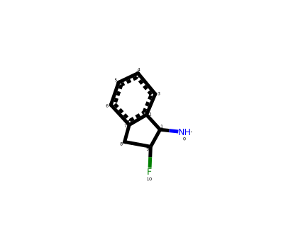 [NH]C1c2ccccc2CC1F